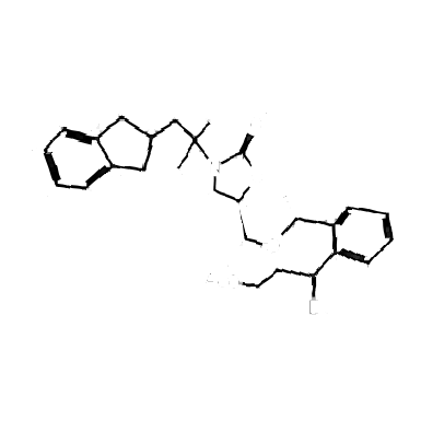 CCC(CCOC(C)=O)c1ccccc1[C@@H](C)OC[C@H]1CN(C(C)(C)CC2Cc3ccccc3C2)C(=O)O1